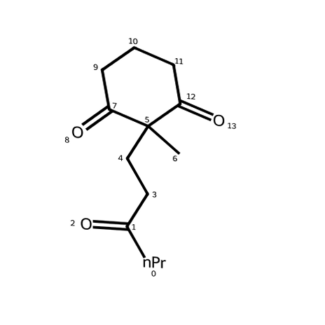 CCCC(=O)CCC1(C)C(=O)CCCC1=O